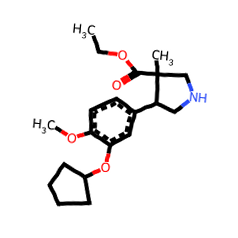 CCOC(=O)C1(C)CNCC1c1ccc(OC)c(OC2CCCC2)c1